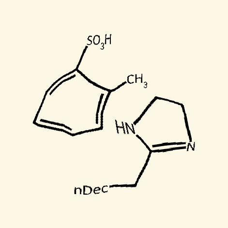 CCCCCCCCCCCC1=NCCN1.Cc1ccccc1S(=O)(=O)O